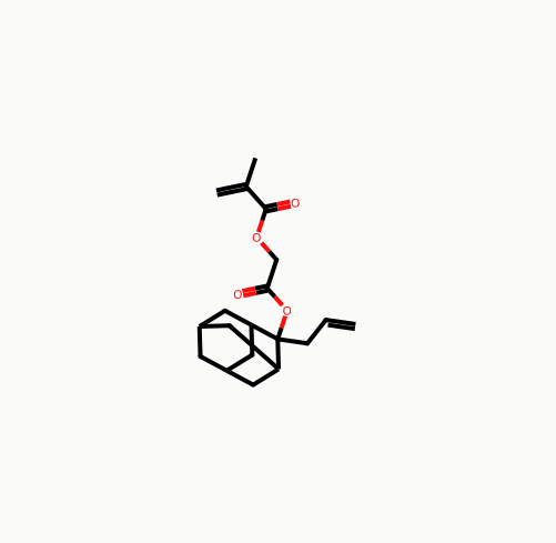 C=CCC1(OC(=O)COC(=O)C(=C)C)C2CC3CC(C2)CC1C3